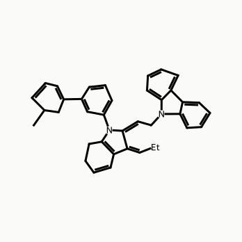 CC/C=c1/c2c(n(-c3cccc(C4=CC=CC(C)C4)c3)/c1=C/Cn1c3ccccc3c3ccccc31)CCC=C2